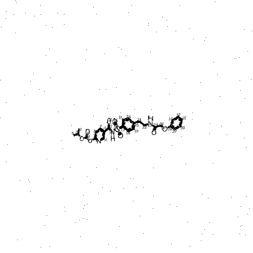 CC(C)OC(=O)Oc1ccc(C(=O)NS(=O)(=O)c2ccc(CCNC(=O)COc3ccccc3)cc2)cn1